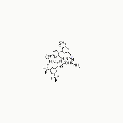 COc1ccc(C/C(N)=N/NN)cc1-c1ccc(N2CCC2)nc1CN1C(=O)OC(c2cc(C(F)(F)F)cc(C(F)(F)F)c2)C1C